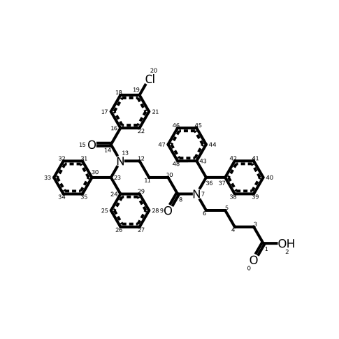 O=C(O)CCCCN(C(=O)CCCN(C(=O)c1ccc(Cl)cc1)C(c1ccccc1)c1ccccc1)C(c1ccccc1)c1ccccc1